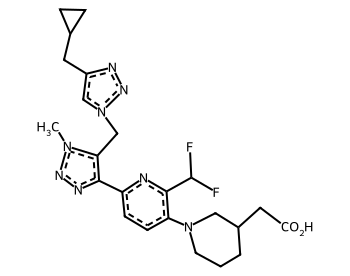 Cn1nnc(-c2ccc(N3CCCC(CC(=O)O)C3)c(C(F)F)n2)c1Cn1cc(CC2CC2)nn1